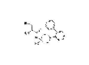 CC(C)(C)CC(N)C(=O)NC1(C#N)CCN(c2ccccc2-c2ccccc2)CC1